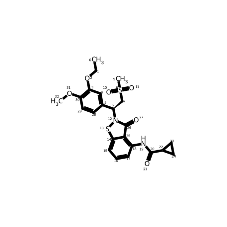 CCOc1cc([C@@H](CS(C)(=O)=O)n2sc3cccc(NC(=O)C4CC4)c3c2=O)ccc1OC